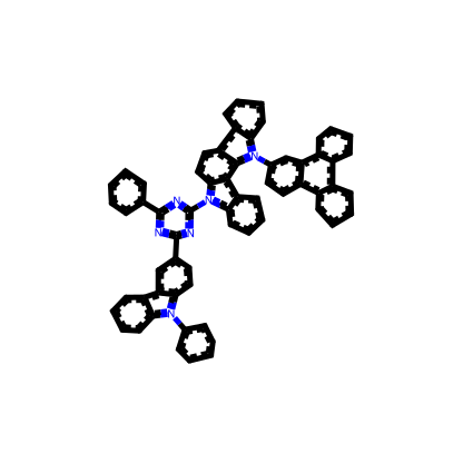 c1ccc(-c2nc(-c3ccc4c(c3)c3ccccc3n4-c3ccccc3)nc(-n3c4ccccc4c4c3ccc3c5ccccc5n(-c5ccc6c7ccccc7c7ccccc7c6c5)c34)n2)cc1